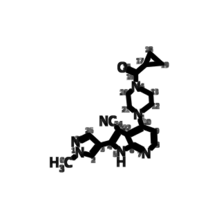 Cn1cc(-c2[nH]c3nccc(N4CCN(C(=O)C5CC5)CC4)c3c2C#N)cn1